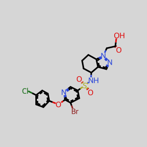 O=C(O)Cn1ncc2c1CCCC2NS(=O)(=O)c1cnc(Oc2ccc(Cl)cc2)c(Br)c1